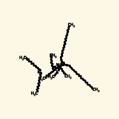 CCCCCCCCCCCCC=[CH][Ni][CH]=CCCCCCCCCCCCC.CCCCCCCCCCCCCCCCCCCCCCCC#Cc1cc(C#CCCCCCCCCCCCCCCCCCCCCCCC)cc(C2=C(CCCCCC)C(CCCCCC)=C(c3cc(CCCCCCCC)cc(CCCCCCCC)c3)[N+]2=[N-])c1